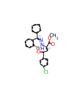 COC(=O)/C(=C/C(=O)c1ccc(Cl)cc1)N/N=C(/c1ccccc1)c1ccccc1Br